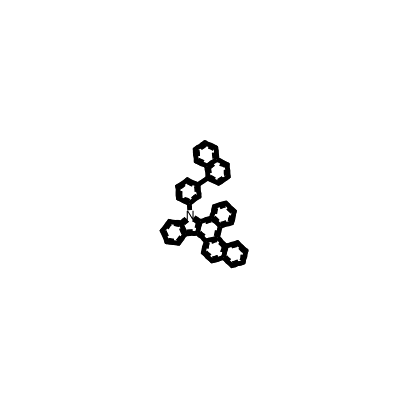 c1cc(-c2cccc3ccccc23)cc(-n2c3ccccc3c3c4ccc5ccccc5c4c4ccccc4c32)c1